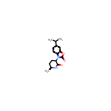 C=C1CCC(n2c(=O)oc3cc(C(C)C)ccc32)C(=O)N1